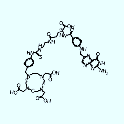 Nc1nc2ncc(CNc3ccc(C(=O)N[C@@H](CCC(=O)NCCNC(=S)Nc4ccc(CN5CCN(CC(=O)O)CCN(CC(=O)O)CCN(CC(=O)O)CC5)cc4)C(=O)O)cc3)nc2c(=O)[nH]1